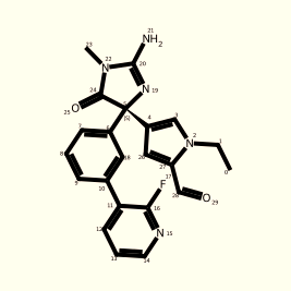 CCn1cc([C@]2(c3cccc(-c4cccnc4F)c3)N=C(N)N(C)C2=O)cc1C=O